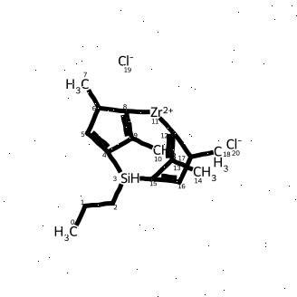 CCC[SiH]1C2=CC(C)[C](=C2C)[Zr+2][C]2=C(C)C1=CC2C.[Cl-].[Cl-]